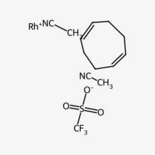 C1=C\CC/C=C\CC/1.CC#N.CC#N.O=S(=O)([O-])C(F)(F)F.[Rh+]